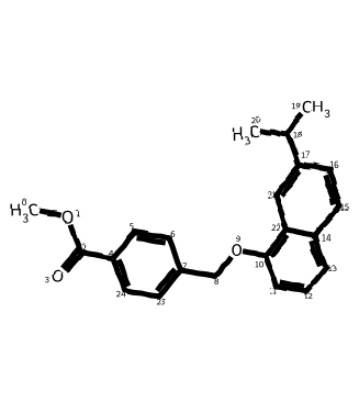 COC(=O)c1ccc(COc2cccc3ccc(C(C)C)cc23)cc1